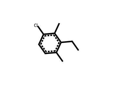 CCc1c(C)ccc(Cl)c1C